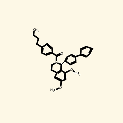 CCCCc1ccc(C(=O)N2CCc3cc(OC)cc(OC)c3[C@@H]2c2ccc(-c3ccccc3)cc2)cc1